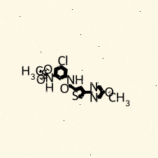 COc1cnc(-c2csc(C(=O)Nc3cc(Cl)cc(NS(C)(=O)=O)c3)c2)nc1